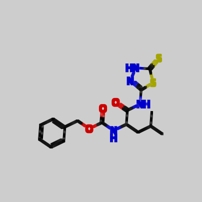 CC(C)CC(NC(=O)OCc1ccccc1)C(=O)Nc1n[nH]c(=S)s1